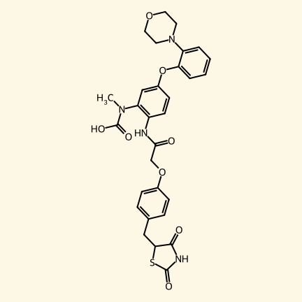 CN(C(=O)O)c1cc(Oc2ccccc2N2CCOCC2)ccc1NC(=O)COc1ccc(CC2SC(=O)NC2=O)cc1